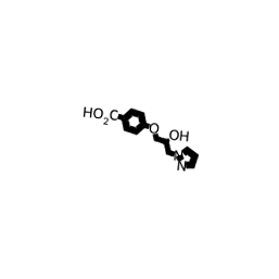 O=C(O)c1ccc(OC[C@@H](O)Cn2cccn2)cc1